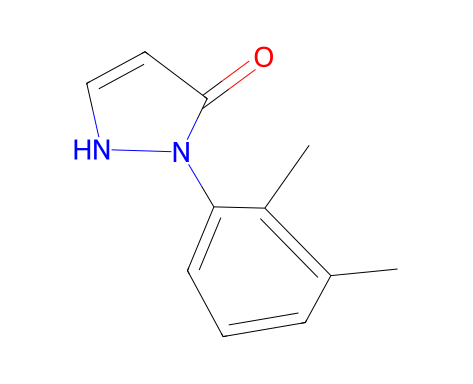 Cc1cccc(-n2[nH]ccc2=O)c1C